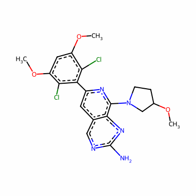 COc1cc(OC)c(Cl)c(-c2cc3cnc(N)nc3c(N3CCC(OC)C3)n2)c1Cl